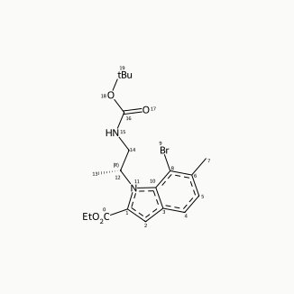 CCOC(=O)c1cc2ccc(C)c(Br)c2n1[C@H](C)CNC(=O)OC(C)(C)C